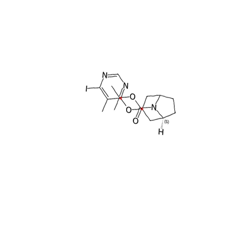 Cc1c(I)ncnc1OC1CC2CC[C@@H](C1)N2C(=O)OC(C)C